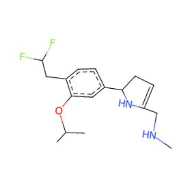 CNCC1=CCC(c2ccc(CC(F)F)c(OC(C)C)c2)N1